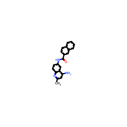 Cc1cc(N)c2cc(NC(=O)c3ccc4ccccc4c3)ccc2n1